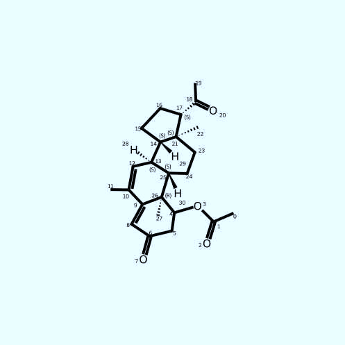 CC(=O)OC1CC(=O)C=C2C(C)=C[C@H]3[C@@H]4CC[C@H](C(C)=O)[C@@]4(C)CC[C@@H]3[C@]21C